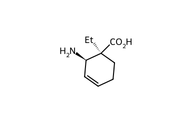 CC[C@]1(C(=O)O)CCC=C[C@H]1N